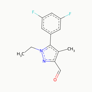 CCn1nc(C=O)c(C)c1-c1cc(F)cc(F)c1